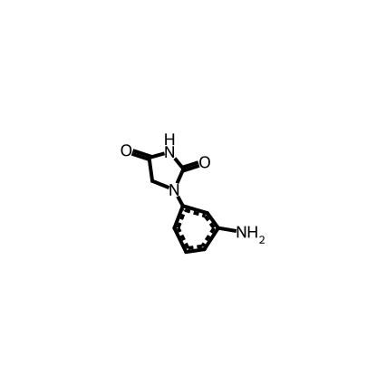 Nc1cccc(N2CC(=O)NC2=O)c1